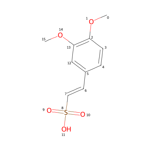 COc1ccc(/C=C/S(=O)(=O)O)cc1OC